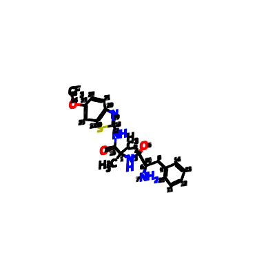 CC(C)(NC(=O)[C@H](N)Cc1ccccc1)C(=O)Nc1nc2ccc(OC(F)(F)F)cc2s1